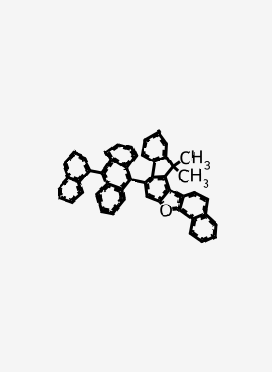 CC1(C)c2ccccc2-c2c(-c3c4ccccc4c(-c4cccc5ccccc45)c4ccccc34)cc3oc4c5ccccc5ccc4c3c21